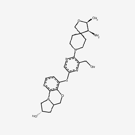 C[C@@H]1OCC2(CCN(c3ncc(Sc4ccnc5c4OCC4C[C@H](O)CN54)nc3CO)CC2)[C@@H]1N